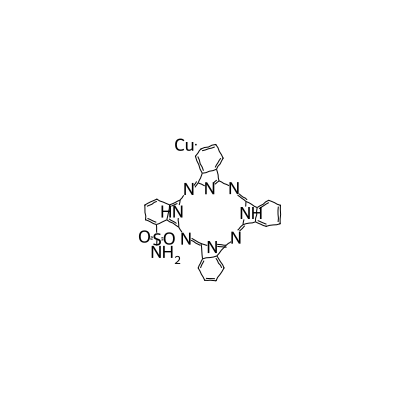 NS(=O)(=O)c1cccc2c3nc4nc(nc5[nH]c(nc6nc(nc([nH]3)c12)-c1ccccc1-6)c1ccccc51)-c1ccccc1-4.[Cu]